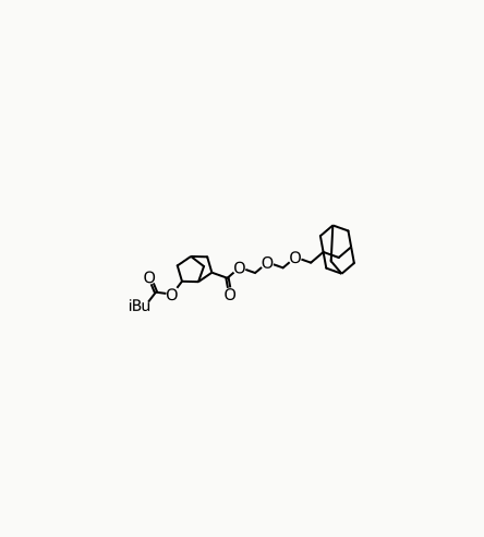 CCC(C)C(=O)OC1CC2CC(C(=O)OCOCOCC34CC5CC(CC(C5)C3)C4)C1C2